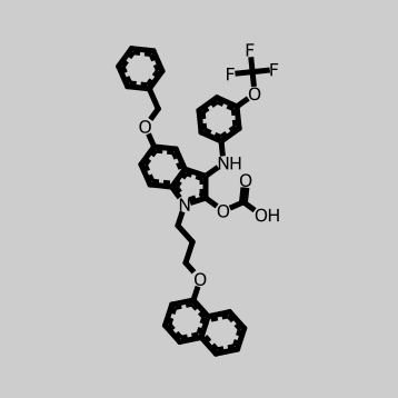 O=C(O)Oc1c(Nc2cccc(OC(F)(F)F)c2)c2cc(OCc3ccccc3)ccc2n1CCCOc1cccc2ccccc12